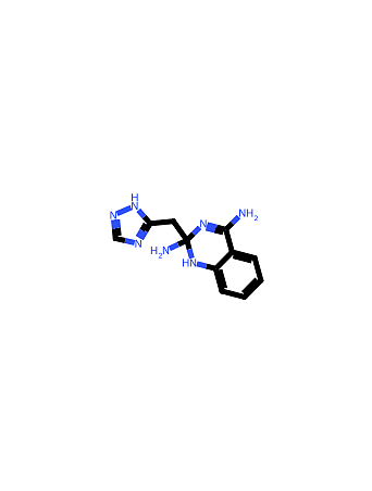 NC1=NC(N)(Cc2ncn[nH]2)Nc2ccccc21